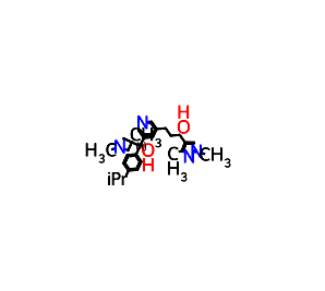 Cc1nn(C)cc1C(O)CCc1cncc([C@@](O)(c2ccc(C(C)C)cc2)C2(C)CN(C)C2)c1